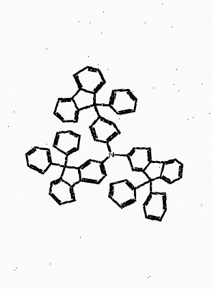 c1ccc(C2(c3ccc(N(c4ccc5c(c4)C(c4ccccc4)(c4ccccc4)c4ccccc4-5)c4ccc5c(c4)C(c4ccccc4)(c4ccccc4)c4ccccc4-5)cc3)c3ccccc3-c3ccccc32)cc1